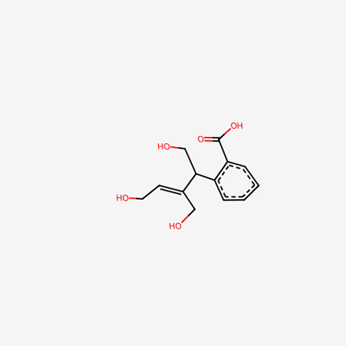 O=C(O)c1ccccc1C(CO)C(=CCO)CO